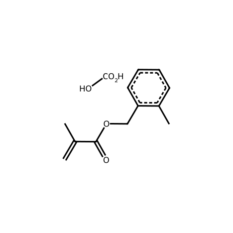 C=C(C)C(=O)OCc1ccccc1C.O=C(O)O